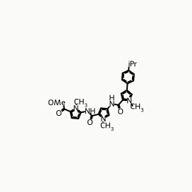 COC(=O)c1ccc(NC(=O)c2cc(NC(=O)c3cc(-c4ccc(C(C)C)cc4)cn3C)cn2C)n1C